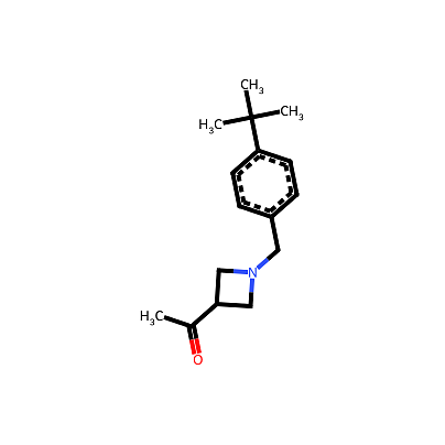 CC(=O)C1CN(Cc2ccc(C(C)(C)C)cc2)C1